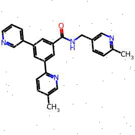 Cc1ccc(-c2cc(C(=O)NCc3ccc(C)nc3)cc(-c3cccnc3)c2)nc1